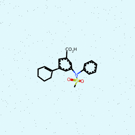 CS(=O)(=O)N(c1ccccc1)c1cc(C(=O)O)cc(C2=CCCCC2)c1